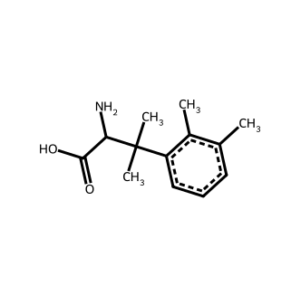 Cc1cccc(C(C)(C)C(N)C(=O)O)c1C